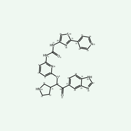 O=C(Nc1cccc(OC(C(=O)c2ccc3[nH]cnc3c2)C2CCNC2)n1)Nc1csc(-c2ccncc2)n1